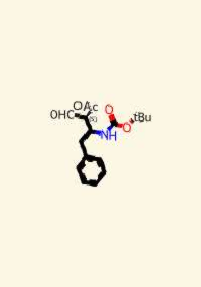 CC(=O)O[C@H](C=O)C(Cc1ccccc1)NC(=O)OC(C)(C)C